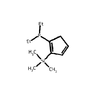 CCP(CC)C1=C([Si](C)(C)C)C=CC1